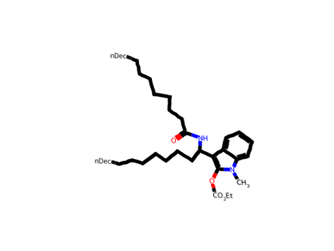 CCCCCCCCCCCCCCCCCC(=O)NC(CCCCCCCCCCCCCCCCC)c1c(OC(=O)OCC)n(C)c2ccccc12